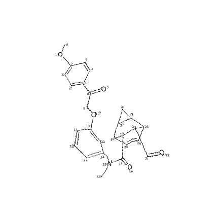 COc1ccc(C(=O)COc2cccc(N(C)C(=O)C3C(C=O)C4C=CC3C3CC43)c2)cc1